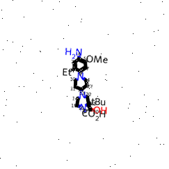 CCc1cc(N)c(OC)cc1N1CCC(N2CCN(C(=O)O)C(CO)(C(C)(C)C)C2)CC1